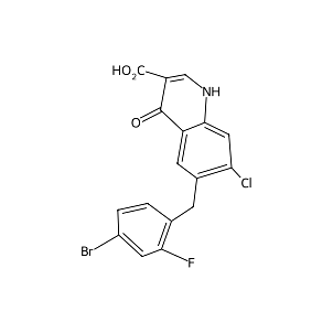 O=C(O)c1c[nH]c2cc(Cl)c(Cc3ccc(Br)cc3F)cc2c1=O